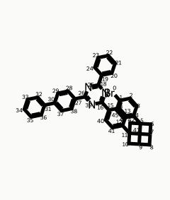 Brc1ccc(C23CC4CC5CC(c6ccc(-c7nc(-c8ccccc8)nc(-c8ccc(-c9ccccc9)cc8)n7)cc6)(C2)C453)cc1